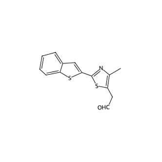 Cc1nc(-c2cc3ccccc3s2)sc1CC=O